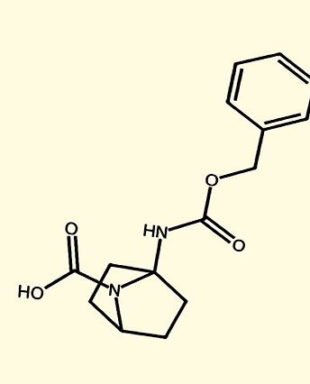 O=C(NC12CCC(CC1)N2C(=O)O)OCc1ccccc1